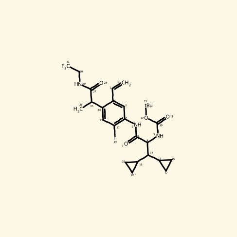 C=Cc1cc(NC(=O)C(NC(=O)OC(C)(C)C)C(C2CC2)C2CC2)c(F)cc1C(C)C(=O)NCC(F)(F)F